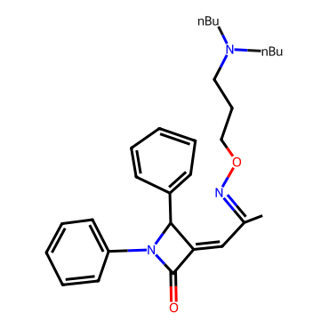 CCCCN(CCCC)CCCON=C(C)/C=C1/C(=O)N(c2ccccc2)C1c1ccccc1